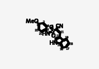 COc1ccc(NS(=O)(=O)C(C#N)=Cc2c[nH]c3ccccc23)cc1